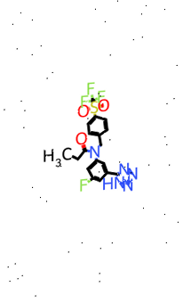 CCC(=O)N(Cc1ccc(S(=O)(=O)C(F)(F)F)cc1)c1cc(F)cc(-c2nnn[nH]2)c1